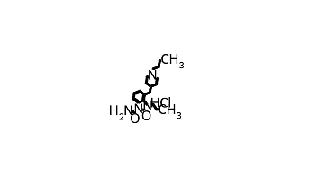 CCCCN1CCC(Cc2cccc3c2n(CCC)c(=O)n3C(N)=O)CC1.Cl